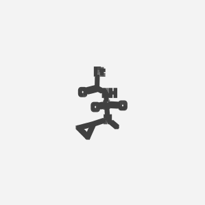 CCC(=O)NS(=O)(=O)N(C)C1CC1